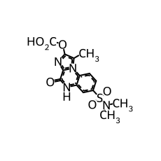 Cc1c(OC(=O)O)nc2c(=O)[nH]c3cc(S(=O)(=O)N(C)C)ccc3n12